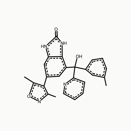 Cc1cccc(C(O)(c2ccccn2)c2cc(-c3c(C)noc3C)cc3[nH]c(=O)[nH]c23)c1